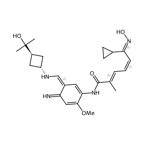 COC1=CC(=N)/C(=C\N[C@H]2C[C@H](C(C)(C)O)C2)C=C1NC(=O)/C(C)=C/C=C\C(=N\O)C1CC1